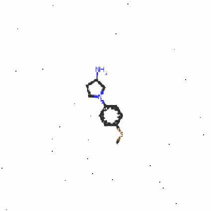 CSc1ccc(N2CC[C@@H](N)C2)cc1